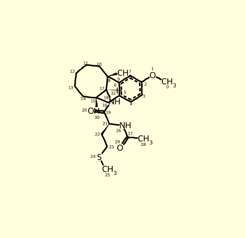 COc1ccc2c(c1)[C@@]1(C)CCCCC[C@@H](C2)[C@@H]1NC(=O)[C@H](CCSC)NC(C)=O